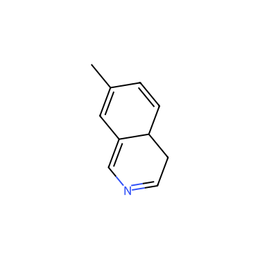 CC1=CC2=CN=CCC2C=C1